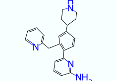 Nc1cccc(-c2ccc(C3CCNCC3)cc2Cc2ccccn2)n1